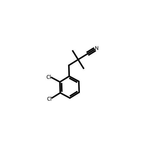 CC(C)(C#N)Cc1cccc(Cl)c1Cl